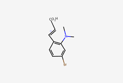 CN(C)c1cc(Br)ccc1/C=C/C(=O)O